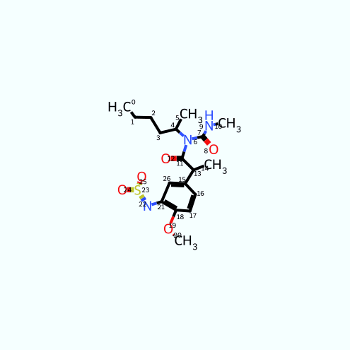 CCCCC(C)N(C(=O)NC)C(=O)C(C)c1ccc(OC)c(N=S(=O)=O)c1